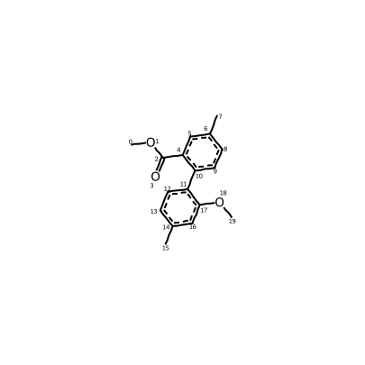 COC(=O)c1cc(C)ccc1-c1ccc(C)cc1OC